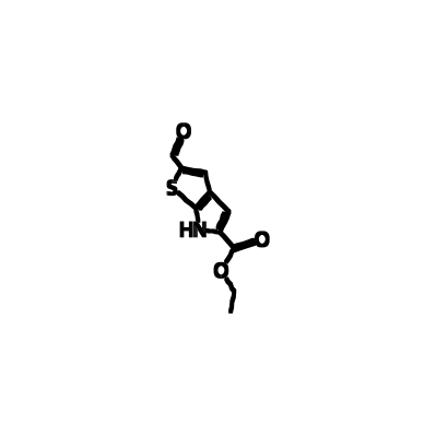 CCOC(=O)c1cc2cc(C=O)sc2[nH]1